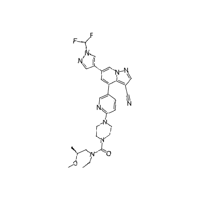 CCN(C[C@H](C)OC)C(=O)N1CCN(c2ccc(-c3cc(-c4cnn(C(F)F)c4)cn4ncc(C#N)c34)cn2)CC1